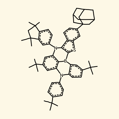 CC(C)(C)c1ccc(N2c3ccc(C(C)(C)C)cc3B3c4sc5cc(C67CC8CC(CC(C8)C6)C7)ccc5c4N(c4ccc5c(c4)C(C)(C)CC5(C)C)c4cc(C(C)(C)C)cc2c43)cc1